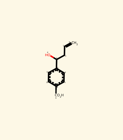 C=CCC(O)c1ccc(C(=O)O)cc1